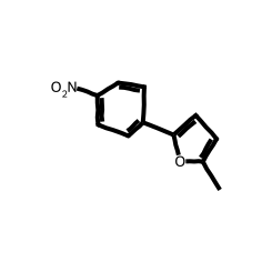 Cc1ccc(-c2ccc([N+](=O)[O-])cc2)o1